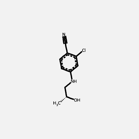 C[C@@H](O)CNc1ccc(C#N)c(Cl)c1